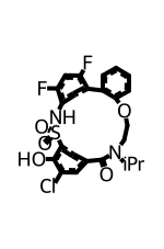 CC(C)N1CCOc2ccccc2-c2cc(c(F)cc2F)NS(=O)(=O)c2cc(cc(Cl)c2O)C1=O